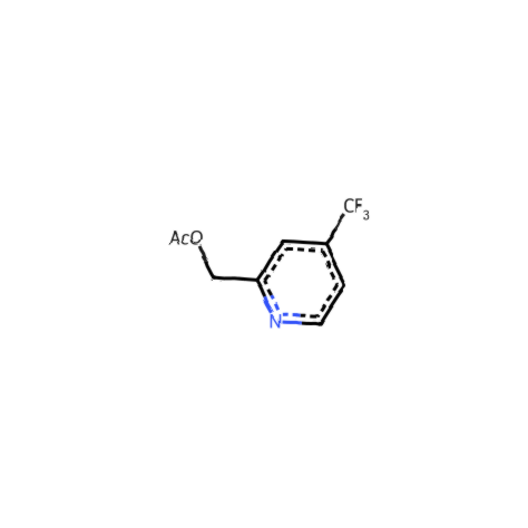 CC(=O)OCc1cc(C(F)(F)F)ccn1